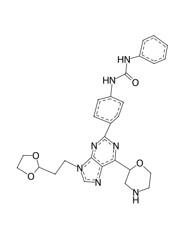 O=C(Nc1ccccc1)Nc1ccc(-c2nc(C3CNCCO3)c3ncn(CCC4OCCO4)c3n2)cc1